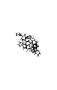 CC(C)(C)c1cc(C2CC=Cc3cccc(-c4ccccc4N(c4ccccc4-c4cccc5c4oc4ccccc45)c4cccc5oc6ccccc6c45)c32)cc(C(C)(C)C)c1